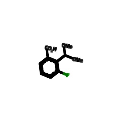 COC(OC)c1c(F)cccc1C(=O)O